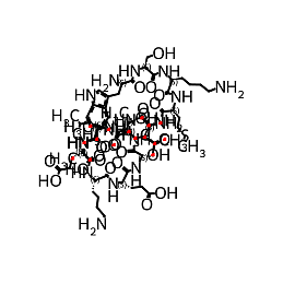 CSCC[C@H](NC(=O)[C@H](CCCCN)NC(=O)[C@H](CO)NC(=O)[C@@H](N)Cc1c[nH]c2ccccc12)C(=O)N[C@@H](CC(=O)O)C(=O)N[C@@H](CCC(N)=O)C(=O)N[C@@H](CC(C)C)C(=O)N[C@@H](C)C(=O)N[C@@H](CCCCN)C(=O)N[C@@H](CCC(=O)O)C(=O)N[C@@H](CC(C)C)C(=O)N[C@H](C(=O)N[C@@H](C)C(=O)N[C@@H](CCC(=O)O)C(=O)O)[C@@H](C)O